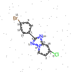 Clc1ccn2nc(-c3ccc(Br)cc3)nc2c1